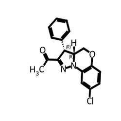 CC(=O)C1=NN2c3cc(Cl)ccc3OC[C@H]2[C@H]1c1ccccc1